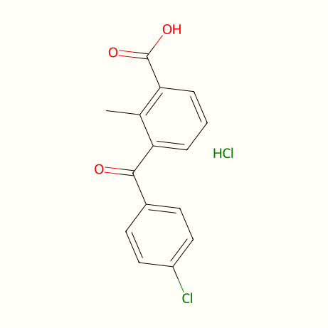 Cc1c(C(=O)O)cccc1C(=O)c1ccc(Cl)cc1.Cl